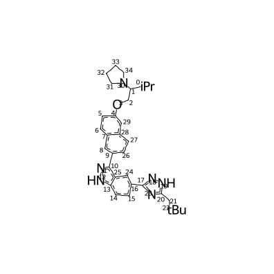 CC(C)C(COc1ccc2cc(-c3n[nH]c4ccc(-c5n[nH]c(CC(C)(C)C)n5)cc34)ccc2c1)N1CCCC1